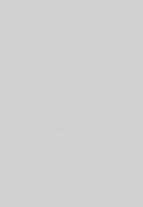 CCC1OC(Br)C(OC(C)=O)C(C)C1C